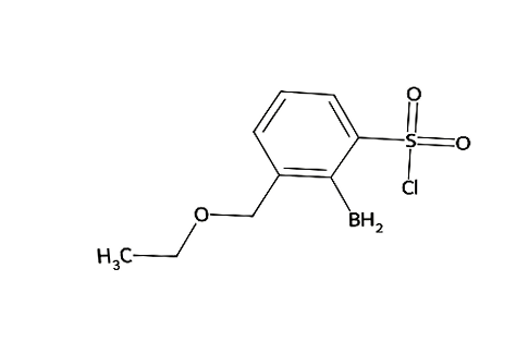 Bc1c(COCC)cccc1S(=O)(=O)Cl